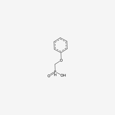 O=[PH](O)COc1ccccc1